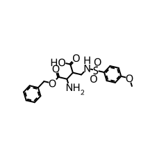 COc1ccc(S(=O)(=O)NCC(C(=O)O)C(N)C(=O)OCc2ccccc2)cc1